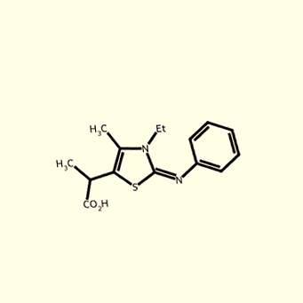 CCn1c(C)c(C(C)C(=O)O)sc1=Nc1ccccc1